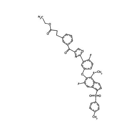 CCOC(=O)CCc1cccc(C(=O)c2csc(-c3cc(Oc4c(F)cc5c(ccn5S(=O)(=O)c5ccc(C)cc5)c4SC)ccc3F)n2)c1